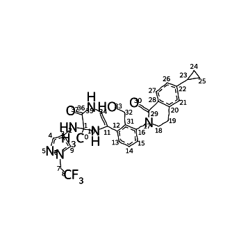 CC1(Nc2cnn(CC(F)(F)F)c2)NC(c2cccc(N3CCc4cc(C5CC5)ccc4C3=O)c2CO)=CNC1=O